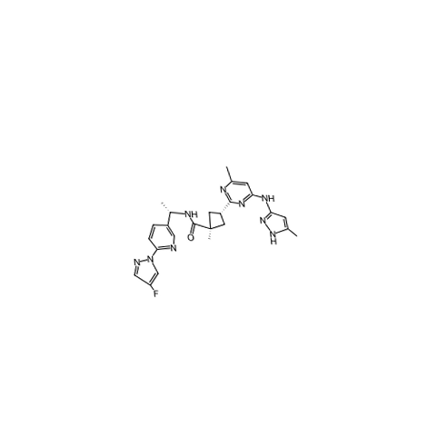 Cc1cc(Nc2cc(C)[nH]n2)nc([C@H]2C[C@](C)(C(=O)N[C@@H](C)c3ccc(-n4cc(F)cn4)nc3)C2)n1